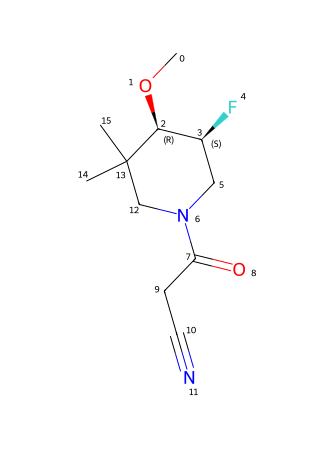 CO[C@H]1[C@@H](F)CN(C(=O)CC#N)CC1(C)C